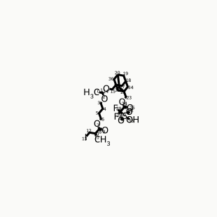 CC(OCCCCOC(=O)C(C)CI)OCC12CC3CC(CC(COC(=O)C(F)(F)S(=O)(=O)O)(C3)C1)C2